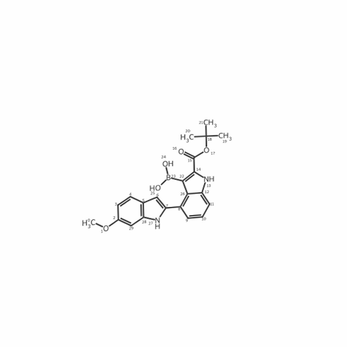 COc1ccc2cc(-c3cccc4[nH]c(C(=O)OC(C)(C)C)c(B(O)O)c34)[nH]c2c1